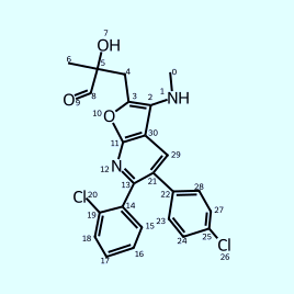 CNc1c(CC(C)(O)C=O)oc2nc(-c3ccccc3Cl)c(-c3ccc(Cl)cc3)cc12